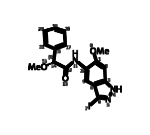 COc1cc2[nH]nc(I)c2cc1NC(=O)[C@H](OC)c1ccccc1